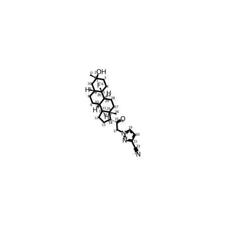 C[C@@]1(O)CC[C@@]2(F)[C@H](CC[C@H]3[C@@H]4CC[C@@H](C(=O)Cn5ccc(C#N)n5)[C@@]4(C)CC[C@@H]32)C1